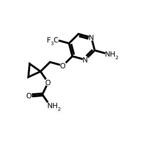 NC(=O)OC1(COc2nc(N)ncc2C(F)(F)F)CC1